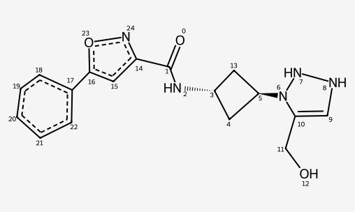 O=C(N[C@H]1C[C@H](N2NNC=C2CO)C1)c1cc(-c2ccccc2)on1